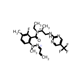 C=C/C=N\N(C)c1ccc(C)c(F)c1C(=O)N(CC)[C@@H](C)CNc1ncc(C(F)(F)F)cn1